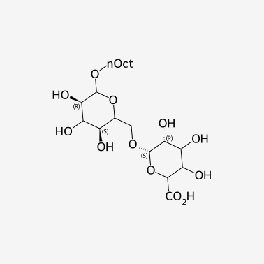 CCCCCCCCOC1OC(CO[C@H]2OC(C(=O)O)C(O)C(O)[C@H]2O)[C@@H](O)C(O)[C@H]1O